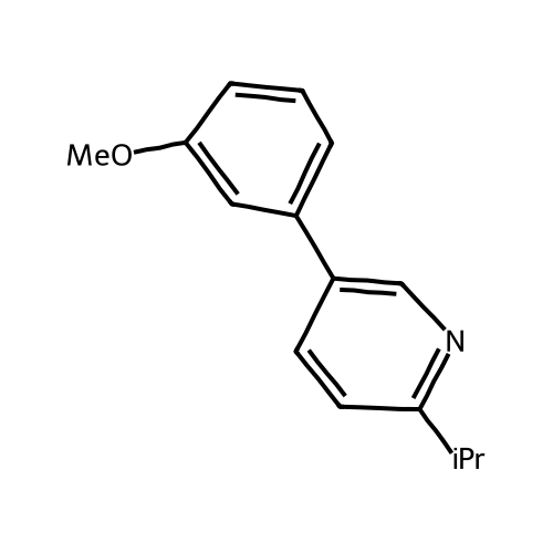 COc1cccc(-c2ccc(C(C)C)nc2)c1